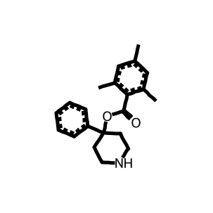 Cc1cc(C)c(C(=O)OC2(c3ccccc3)CCNCC2)c(C)c1